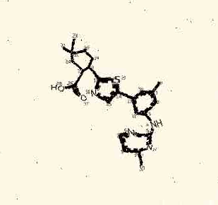 Cc1cc(Nc2nccc(C)n2)cc(-c2cnc(C3CCC(C)(C)CC3C(=O)O)s2)c1